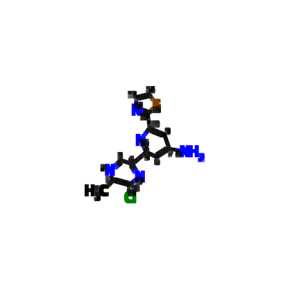 Cc1ncc(-c2cc(N)cc(-c3nccs3)n2)nc1Cl